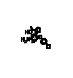 CC(O)C1CCCN1c1nc(N)ncc1Oc1ccc(Cl)cc1